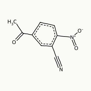 CC(=O)c1ccc([N+](=O)[O-])c(C#N)c1